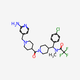 CN(C(=O)C(F)(F)F)C(c1ccc(Cl)cc1)C1CCN(C(=O)C2CCN(Cc3ccnc(N)c3)CC2)CC1